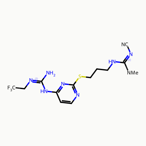 CN/C(=N/C#N)NCCCSc1nccc(N/C(N)=N\CC(F)(F)F)n1